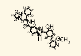 COc1ncccc1-c1ccc(O)c(-c2nc3cc(C(=O)NC(Cn4cccn4)c4ccccc4)ccc3[nH]2)c1